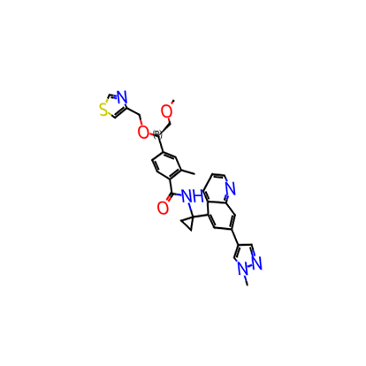 COC[C@H](OCc1cscn1)c1ccc(C(=O)NC2(c3cc(-c4cnn(C)c4)cc4ncccc34)CC2)c(C)c1